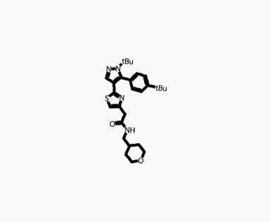 CC(C)(C)c1ccc(-c2c(-c3nc(CC(=O)NCC4CCOCC4)cs3)cnn2C(C)(C)C)cc1